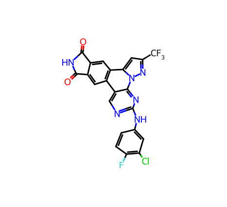 O=C1NC(=O)c2cc3c(cc21)c1cnc(Nc2ccc(F)c(Cl)c2)nc1n1nc(C(F)(F)F)cc31